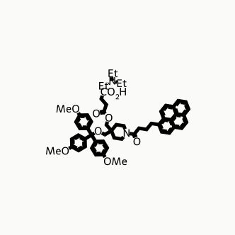 CCN(CC)CC.COc1ccc(C(OCC2(COC(=O)CCC(=O)O)CCN(C(=O)CCCc3ccc4ccc5cccc6ccc3c4c56)CC2)(c2ccc(OC)cc2)c2ccc(OC)cc2)cc1